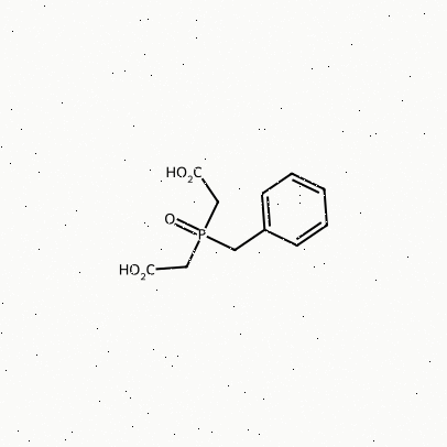 O=C(O)CP(=O)(CC(=O)O)Cc1ccccc1